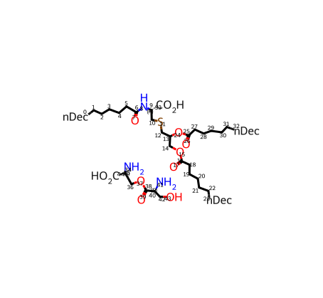 CCCCCCCCCCCCCCCC(=O)N[C@@H](CSCC(COC(=O)CCCCCCCCCCCCCCC)OC(=O)CCCCCCCCCCCCCCC)C(=O)O.N[C@@H](COC(=O)[C@@H](N)CO)C(=O)O